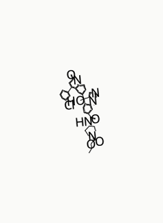 CCOC(=O)N1CCC(NC(=O)c2ccc(C(O)(c3ccc4c(c3)c(-c3cccc(Cl)c3)cc(=O)n4C)c3cncn3C)cc2)CC1